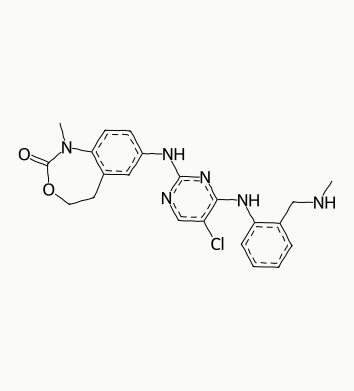 CNCc1ccccc1Nc1nc(Nc2ccc3c(c2)CCOC(=O)N3C)ncc1Cl